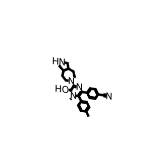 Cc1ccc(C2=C(c3ccc(C#N)cc3)N=C(N3CCC4CNCC4CC3)C(O)N2C)cc1